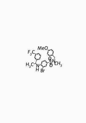 COc1ccc(CN(C)S(=O)(=O)c2ccc(NC(C)c3cccc(C(F)(F)F)c3)c(Br)c2)cc1